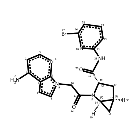 Nc1ccnc2c1ccn2CC(=O)N1[C@@H]2C[C@@H]2C[C@H]1C(=O)Nc1cccc(Br)n1